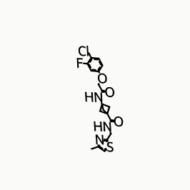 Cc1csc(CNC(=O)C23CC(NC(=O)COc4ccc(Cl)c(F)c4)(C2)C3)n1